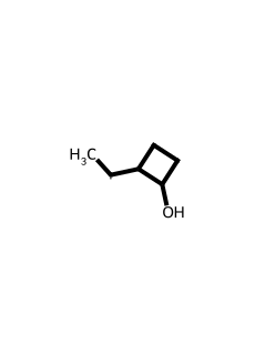 C[CH]C1CCC1O